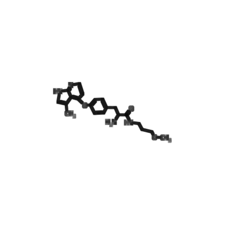 COCCCNC(=O)C(N)Cc1ccc(Oc2ccnc3[nH]cc(C)c23)cc1